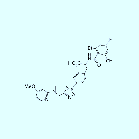 CCc1cc(F)cc(C)c1C(=O)NC(Cc1ccc(-c2nnc(CNc3cc(OC)ccn3)s2)cc1)C(=O)O